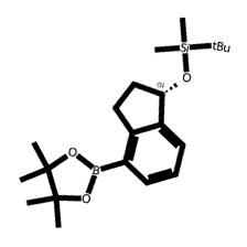 CC1(C)OB(c2cccc3c2CC[C@@H]3O[Si](C)(C)C(C)(C)C)OC1(C)C